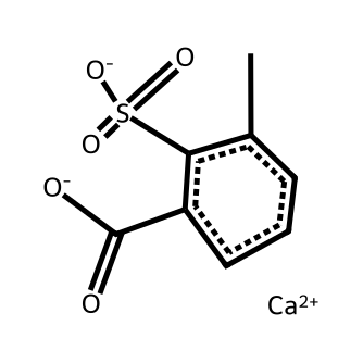 Cc1cccc(C(=O)[O-])c1S(=O)(=O)[O-].[Ca+2]